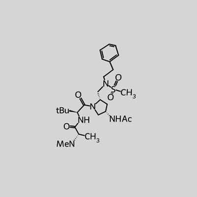 CN[C@@H](C)C(=O)N[C@H](C(=O)N1C[C@@H](NC(C)=O)C[C@H]1CN(CCc1ccccc1)S(C)(=O)=O)C(C)(C)C